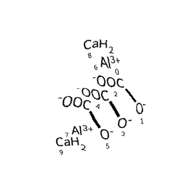 O=C([O-])[O-].O=C([O-])[O-].O=C([O-])[O-].[Al+3].[Al+3].[CaH2].[CaH2]